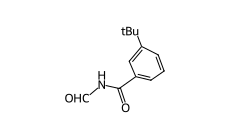 CC(C)(C)c1cccc(C(=O)NC=O)c1